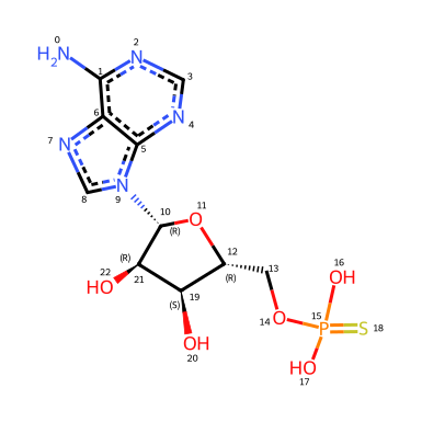 Nc1ncnc2c1ncn2[C@@H]1O[C@H](COP(O)(O)=S)[C@@H](O)[C@H]1O